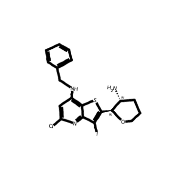 N[C@@H]1CCCO[C@H]1c1sc2c(NCc3ccccc3)cc(Cl)nc2c1I